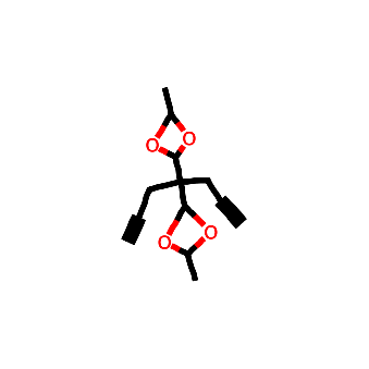 C#CCC(CC#C)(C1OC(C)O1)C1OC(C)O1